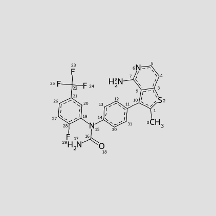 Cc1sc2ccnc(N)c2c1-c1ccc(N(C(N)=O)c2cc(C(F)(F)F)ccc2F)cc1